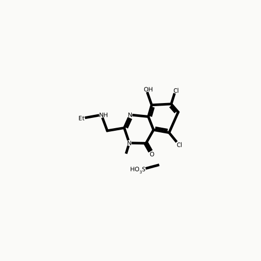 CCNCc1nc2c(O)c(Cl)cc(Cl)c2c(=O)n1C.CS(=O)(=O)O